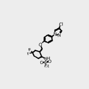 CCS(=O)(=O)NC1CCC(F)(F)CC1COc1ccc(-n2cc(Cl)cn2)cc1